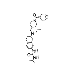 CCCN(CC1CCN(C(=O)N2CCOCC2)CC1)C1CCc2ccc(NC(=O)NC(C)C)cc2C1